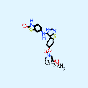 CCN(CCOC)C(=O)OC1CCc2c(sc3ncnc(Nc4ccc5[nH]c(=O)sc5c4)c23)C1